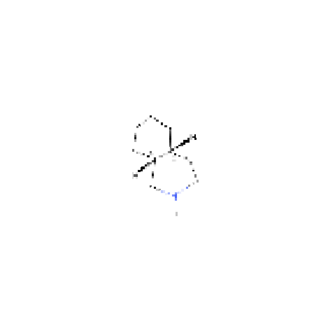 CN1CC[C@H]2CCCC[C@H]2C1